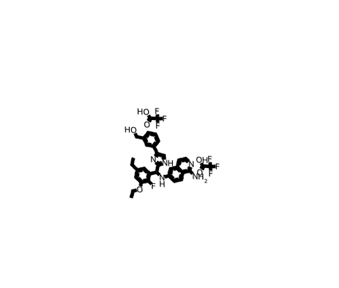 CCOc1cc(CC)cc(C(Nc2ccc3c(N)nccc3c2)c2nc(-c3cccc(CO)c3)c[nH]2)c1F.O=C(O)C(F)(F)F.O=C(O)C(F)(F)F